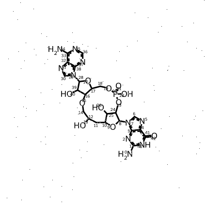 Nc1nc2c(ncn2C2OC3CC(O)COC4C(COP(=O)(O)OC2C3O)OC(n2cnc3c(N)ncnc32)C4O)c(=O)[nH]1